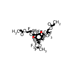 C=CC(=O)OCC(F)(OC(F)(F)C1(F)C(F)(F)C(F)(C(F)(F)OC(C)(F)C(F)(F)F)C(F)(F)C(F)(C(F)(F)OC(F)(COC(=O)C=C)C(F)(F)F)C1(F)F)C(F)(F)F